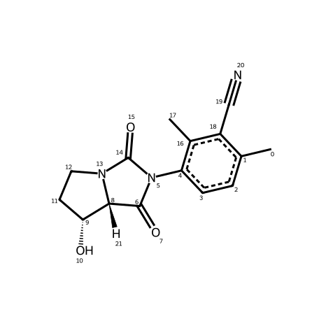 Cc1ccc(N2C(=O)[C@@H]3[C@H](O)CCN3C2=O)c(C)c1C#N